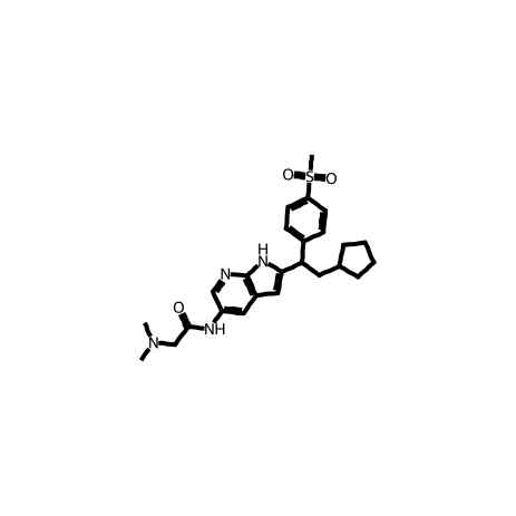 CN(C)CC(=O)Nc1cnc2[nH]c(C(CC3CCCC3)c3ccc(S(C)(=O)=O)cc3)cc2c1